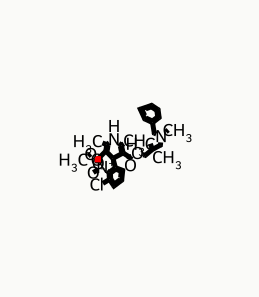 COC(=O)C1=C(C)NC(C)=C(C(=O)OCC(C)(C)CN(C)Cc2ccccc2)C1c1cccc(Cl)c1[N+](=O)[O-]